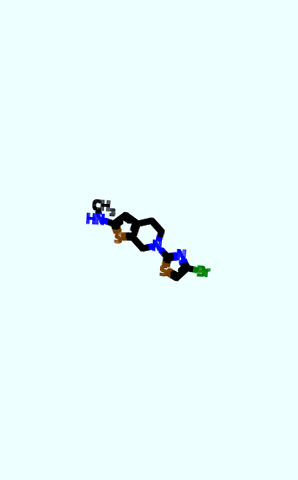 CNc1cc2c(s1)CN(c1nc(Br)cs1)CC2